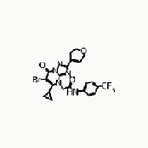 O=C(Cn1c(C2CC2)c(Br)c(=O)n2nc(C3=CCOCC3)nc12)Nc1ccc(C(F)(F)F)cc1